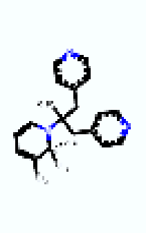 CCCC[C@]1(C)C(C)=CC=CN1C(C=O)(Cc1ccncc1)Cc1ccncc1